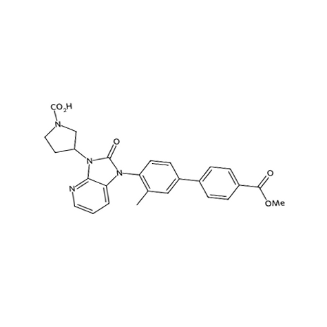 COC(=O)c1ccc(-c2ccc(-n3c(=O)n(C4CCN(C(=O)O)C4)c4ncccc43)c(C)c2)cc1